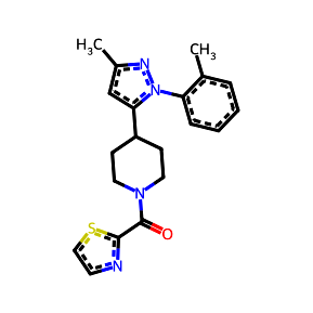 Cc1cc(C2CCN(C(=O)c3nccs3)CC2)n(-c2ccccc2C)n1